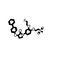 CS(=O)(=O)CCOc1ccc(N2CCC(Oc3ccc(-c4ccccc4)cc3)C2=O)cc1OCCF